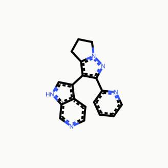 c1ccc(-c2nn3c(c2-c2c[nH]c4cnccc24)CCC3)nc1